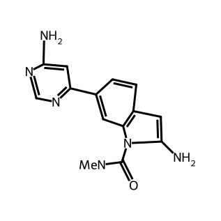 CNC(=O)n1c(N)cc2ccc(-c3cc(N)ncn3)cc21